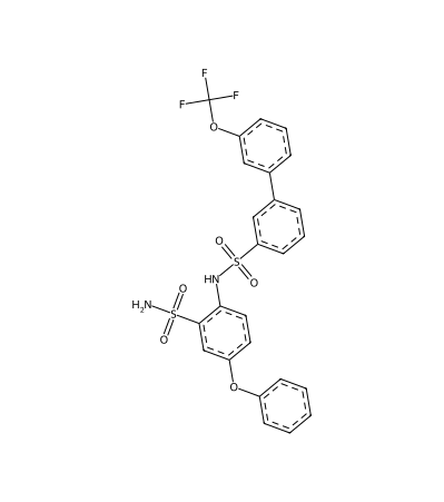 NS(=O)(=O)c1cc(Oc2ccccc2)ccc1NS(=O)(=O)c1cccc(-c2cccc(OC(F)(F)F)c2)c1